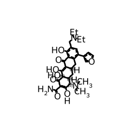 CCN(CC)Cc1cc(-c2ccoc2)c2c(c1O)C(=O)C1=C(O)[C@]3(O)C(=O)C(C(N)=O)=C(O)[C@@H](N(C)C)[C@@H]3C[C@@H]1C2